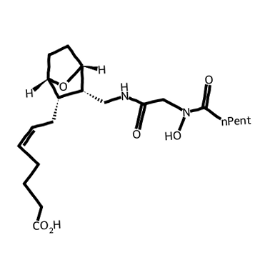 CCCCCC(=O)N(O)CC(=O)NC[C@@H]1[C@H](C/C=C\CCCC(=O)O)[C@@H]2CC[C@H]1O2